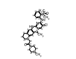 COc1cc2c(cc1Nc1ncc(Cl)c(Nc3ccccc3P(C)(C)=O)n1)CCCN2CC(=O)N1CCN(C)CC1